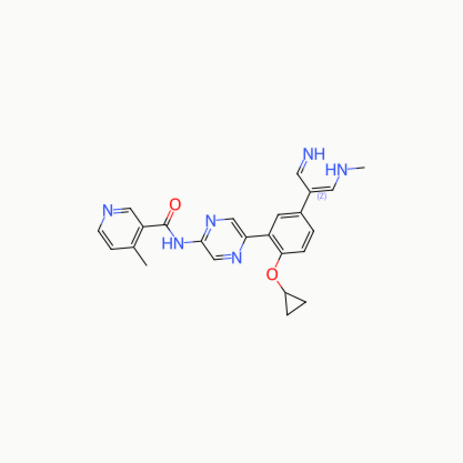 CN/C=C(\C=N)c1ccc(OC2CC2)c(-c2cnc(NC(=O)c3cnccc3C)cn2)c1